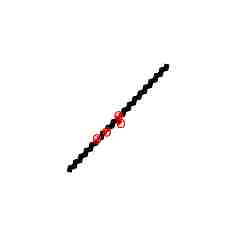 CCCCCCCCCCCCCCCCCCOC(=O)CCCOCCOCCCCCCCCCCC